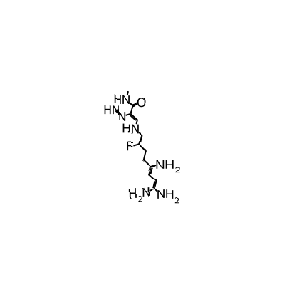 CNC(=O)/C(=C/NCC(F)CC/C(N)=C/C=C(N)N)N=N